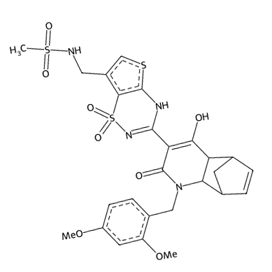 COc1ccc(CN2C(=O)C(C3=NS(=O)(=O)c4c(CNS(C)(=O)=O)csc4N3)=C(O)C3C4C=CC(C4)C32)c(OC)c1